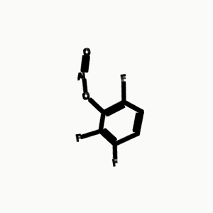 [O]=[Al][O]c1c(F)ccc(F)c1F